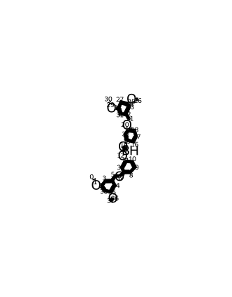 COc1cc(COc2cccc(OBOc3cccc(OCc4cc(OC)cc(OC)c4)c3)c2)cc(OC)c1